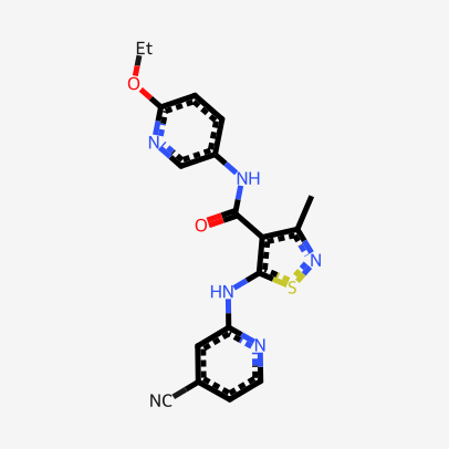 CCOc1ccc(NC(=O)c2c(C)nsc2Nc2cc(C#N)ccn2)cn1